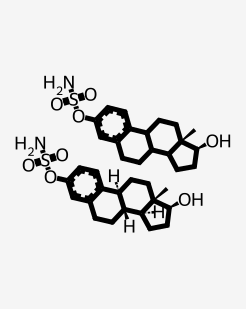 C[C@]12CCC3c4ccc(OS(N)(=O)=O)cc4CCC3C1CC[C@@H]2O.C[C@]12CC[C@@H]3c4ccc(OS(N)(=O)=O)cc4CC[C@H]3[C@@H]1CC[C@@H]2O